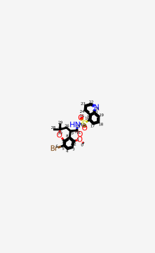 COc1ccc(Br)c2c1C(C(=O)NS(=O)(=O)c1cccc3ncccc13)CC(C)(C)O2